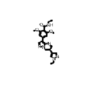 CCNC(=O)c1c(OC)cc(-c2cnn3cc(-c4cnn(CC)c4)cnc23)cc1OC